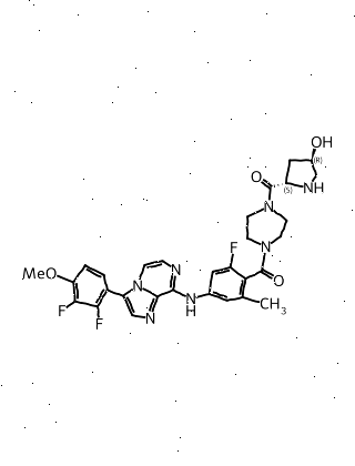 COc1ccc(-c2cnc3c(Nc4cc(C)c(C(=O)N5CCN(C(=O)[C@@H]6C[C@@H](O)CN6)CC5)c(F)c4)nccn23)c(F)c1F